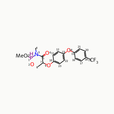 CO[PH](=O)N(C)C(=O)C(C)Oc1ccc(Oc2ccc(C(F)(F)F)cc2)cc1